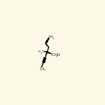 C=CCC(C)(C#CC)C(=O)OCC